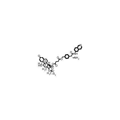 CC1(C)O[C@@H]2C[C@H]3[C@@H]4CCC5=CC(=O)C=C[C@]5(C)[C@@]4(F)[C@@H](O)C[C@]3(C)[C@]2(C(=O)COC(=O)CCC(=O)OCc2ccc([C@@H](CN)C(=O)Nc3ccc4cnccc4c3)cc2)O1